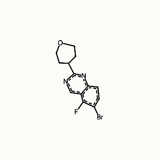 Fc1c(Br)ccc2nc(C3CCOCC3)ncc12